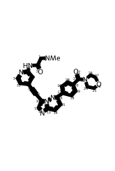 CNCC(=O)Nc1cc(C#Cc2cnc3ccc(-c4ccc(C(=O)N5CCOCC5)cc4)nn23)ccn1